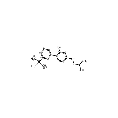 CC(C)COc1ccc(-c2cccc(C(C)(C)C)c2)c(F)c1